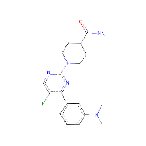 CN(C)c1cccc(-c2nc(N3CCC(C(N)=O)CC3)ncc2F)c1